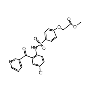 COC(=O)COc1ccc(S(=O)(=O)Nc2ccc(Cl)cc2C(=O)c2cccnc2)cc1